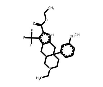 CCOC(=O)c1[nH]c2c(c1C(F)(F)F)CC1CN(CC)CCC1(c1cccc(O)c1)C2.Cl